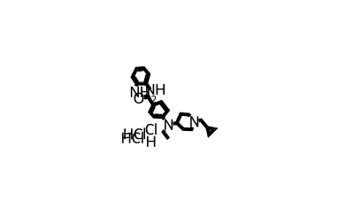 CCN(c1ccc(C(=O)Nc2ccccc2N)cc1)C1CCN(CC2CC2)CC1.Cl.Cl.Cl